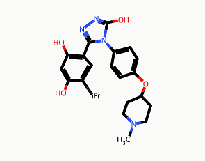 CC(C)c1cc(-c2nnc(O)n2-c2ccc(OC3CCN(C)CC3)cc2)c(O)cc1O